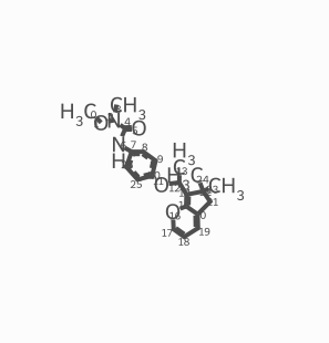 CON(C)C(=O)Nc1ccc(OC(C)C2=C3OC=CC=C3CC2(C)C)cc1